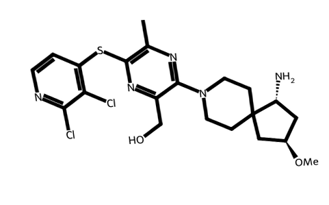 CO[C@@H]1C[C@@H](N)C2(CCN(c3nc(C)c(Sc4ccnc(Cl)c4Cl)nc3CO)CC2)C1